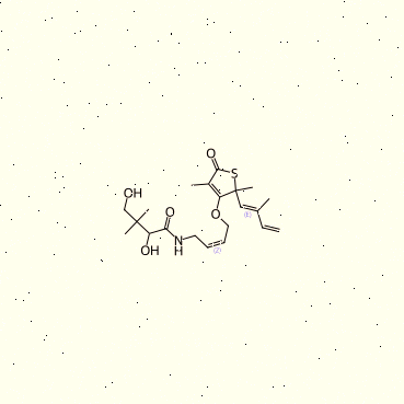 C=C/C(C)=C/C1(C)SC(=O)C(C)=C1OC/C=C\CNC(=O)C(O)C(C)(C)CO